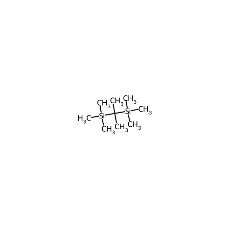 CC(C)([Si](C)(C)C)[Si](C)(C)C